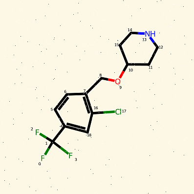 FC(F)(F)c1ccc(COC2CCNCC2)c(Cl)c1